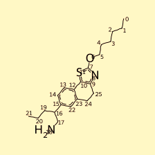 CCCCCCOc1nc2c(s1)-c1ccc(C(CN)CCC)cc1CC2